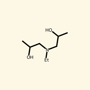 [CH2]CN(CC(C)O)CC(C)O